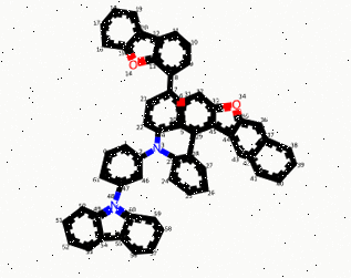 c1cc(N(c2ccc(-c3cccc4c3oc3ccccc34)cc2)c2ccccc2-c2cccc3oc4cc5ccccc5cc4c23)cc(-n2c3ccccc3c3ccccc32)c1